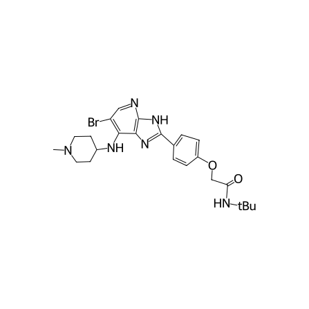 CN1CCC(Nc2c(Br)cnc3[nH]c(-c4ccc(OCC(=O)NC(C)(C)C)cc4)nc23)CC1